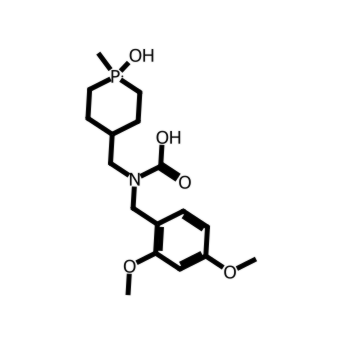 COc1ccc(CN(CC2CC[P](C)(O)CC2)C(=O)O)c(OC)c1